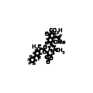 COc1c(N2CCN(Cc3oc(=O)oc3COC(=O)C(C)c3ccc(-c4ccccc4)c(F)c3)C(C)C2)c(F)cc2c(=O)c(C(=O)O)cn(C3CC3)c12